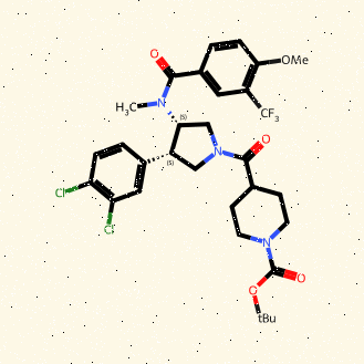 COc1ccc(C(=O)N(C)[C@@H]2CN(C(=O)C3CCN(C(=O)OC(C)(C)C)CC3)C[C@@H]2c2ccc(Cl)c(Cl)c2)cc1C(F)(F)F